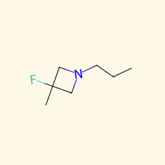 CCCN1CC(C)(F)C1